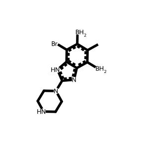 Bc1c(C)c(B)c2nc(N3CCNCC3)[nH]c2c1Br